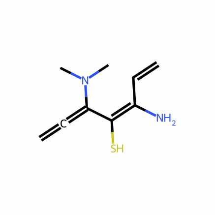 C=C=C(/C(S)=C(/N)C=C)N(C)C